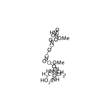 COc1cc2nc(C)nc(NC(C)c3cc(NC(=O)O)cc(C(F)(F)F)c3)c2cc1C1=CCC(C(=O)N2CCC(CCOCC3CCN(C(=O)c4ccc(OC)c(N5CCC(=O)NC5=O)c4)CC3)CC2)CC1